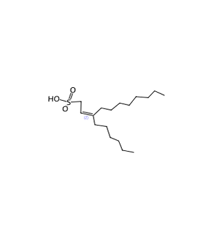 CCCCCCCC/C(=C\CS(=O)(=O)O)CCCCCC